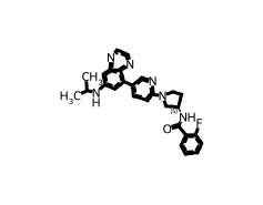 CC(C)Nc1cc(-c2ccc(N3CC[C@H](NC(=O)c4ccccc4F)C3)nc2)c2nccnc2c1